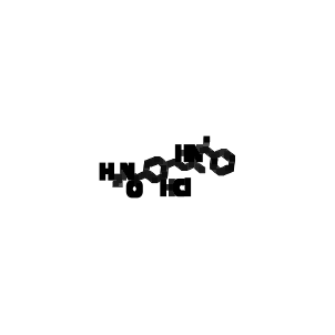 C[C@H](N[C@@H](C)CCc1ccc(C(N)=O)cc1)c1ccccc1.Cl